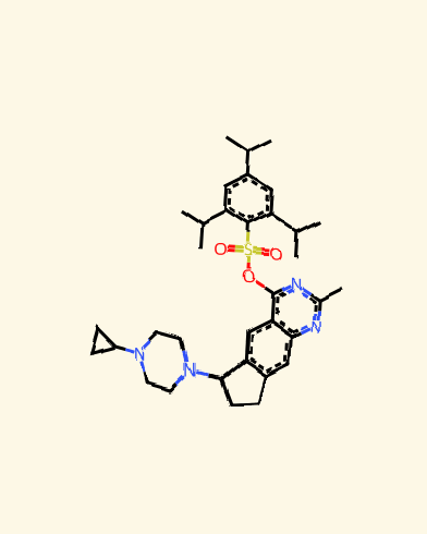 Cc1nc(OS(=O)(=O)c2c(C(C)C)cc(C(C)C)cc2C(C)C)c2cc3c(cc2n1)CCC3N1CCN(C2CC2)CC1